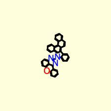 c1ccc2c(c1)Oc1cccc3nc(-n4c5ccccc5c5c6ccc7ccccc7c6c6ccccc6c54)nc-2c13